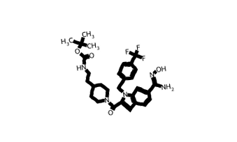 CC(C)(C)OC(=O)NCCC1CCN(C(=O)c2cc3ccc(C(N)=NO)cc3n2Cc2ccc(C(F)(F)F)cc2)CC1